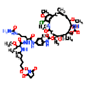 C=C(CCCCC(=O)ON1C(=O)CCC1=O)N[C@H](C(=O)N[C@@H](CCCNC(N)=O)C(=O)Nc1ccc(NC(=O)O[C@H]2CC(=O)N(C)c3cc(cc(OC)c3Cl)C/C(C)=C/C=C/[C@@H](OC)[C@@]3(O)C[C@H](OC(=O)N3)[C@@H](C)[C@@H]3O[C@@]23C)c(C)c1)C(C)OC